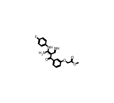 COC(=O)COc1cccc(C(=O)/C(C=N)=C(\N)Nc2ccc(F)cc2)c1